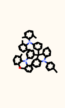 Cc1ccc(N2c3ccccc3C(c3cccc(N(c4c(C)cccc4C)c4c(C)cccc4C)c3)(c3cccc(N(c4c(C)cccc4C)c4c(C)cccc4C)c3)c3cc(C)ccc32)cc1